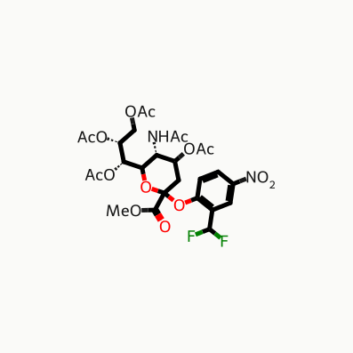 COC(=O)C1(Oc2ccc([N+](=O)[O-])cc2C(F)F)CC(OC(C)=O)[C@@H](NC(C)=O)C([C@H](OC(C)=O)[C@@H](COC(C)=O)OC(C)=O)O1